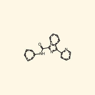 O=C(Nc1ccccc1)c1nc(-c2ccccn2)c2ccccn12